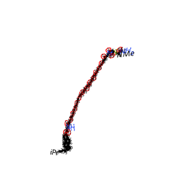 CNC(CSC1CC(=O)N(CCC(=O)CCCOCCOCCOCCOCCOCCOCCOCCOCCOCCOCCOCCOCCC(=O)NCC(=O)OC2CC[C@@]3(C)C(=CCC4C5CCC(C(C)CCCC(C)C)[C@@]5(C)CCC43)C2)C1=O)C(N)=O